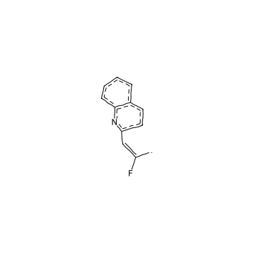 [CH2]/C(F)=C\c1ccc2ccccc2n1